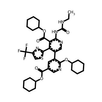 CCNC(=O)Nc1ncc(-c2cc(C(=O)OC3CCCCC3)cnc2OC2CCCCC2)c(-c2nc(C(F)(F)F)cs2)c1C(=O)OC1CCCCC1